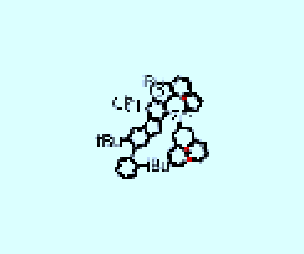 CCC(C)c1ccccc1-c1cc2c(cc1C(C)(C)C)-c1cc(C(C)(C)C)c(-c3ccccc3C(C)CC)[c]([Zr+2]([C]3=CC=CC3)=[C](Cc3ccccc3)Cc3ccccc3)c1C2.[Cl-].[Cl-]